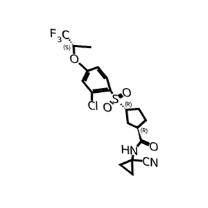 C[C@H](Oc1ccc(S(=O)(=O)[C@@H]2CC[C@@H](C(=O)NC3(C#N)CC3)C2)c(Cl)c1)C(F)(F)F